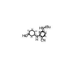 CC(C)(C)Nc1ncc(C#N)c(NC2CCC[C@H](O)C2)n1